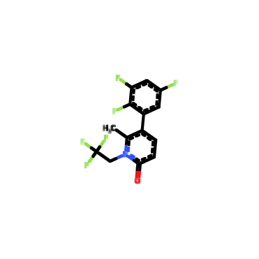 Cc1c(-c2cc(F)cc(F)c2F)ccc(=O)n1CC(F)(F)F